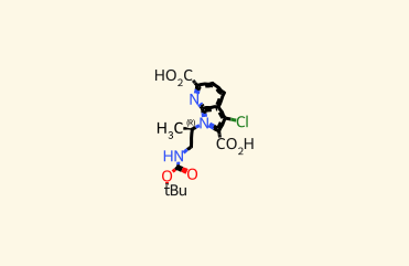 C[C@H](CNC(=O)OC(C)(C)C)n1c(C(=O)O)c(Cl)c2ccc(C(=O)O)nc21